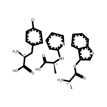 C[C@H](N)C(=O)Oc1csc2ccccc12.C[C@H](Nc1ccccn1)C(=O)O.N[C@@H](Cc1ccc(Cl)cc1)C(=O)O